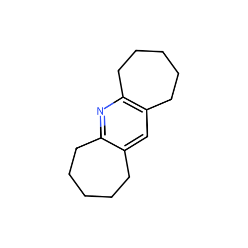 c1c2c(nc3c1CCCCC3)CCCCC2